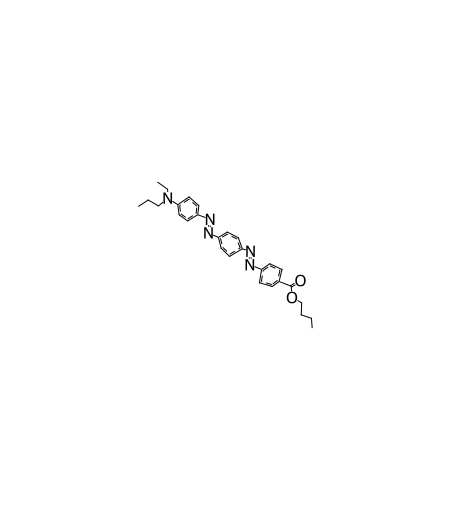 CCCCOC(=O)c1ccc(N=Nc2ccc(N=Nc3ccc(N(CC)CCC)cc3)cc2)cc1